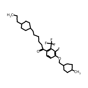 CCCC1CCC(CCCCCC(=O)c2ccc(OCC3CCC(C)CC3)c(F)c2C(F)(F)F)CC1